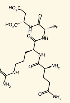 CC(C)[C@H](NC(=O)[C@H](CCCNC(=N)N)NC(=O)[C@@H](N)CCC(N)=O)C(=O)N[C@@H](CC(=O)O)C(=O)O